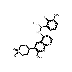 COc1nc2ncnc(N[C@H](C)c3cccc(C(F)(F)F)c3F)c2cc1C1CCS(=O)(=O)CC1